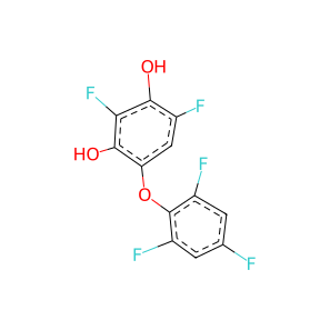 Oc1c(F)cc(Oc2c(F)cc(F)cc2F)c(O)c1F